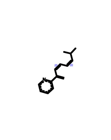 C=C(/C=C\C=C/C(C)C)c1ccccn1